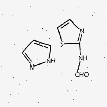 O=CNc1nccs1.c1cn[nH]c1